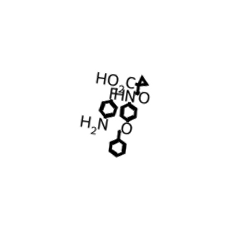 Nc1ccc(F)cc1.O=C(O)C1(C(=O)Nc2ccc(OCc3ccccc3)cc2)CC1